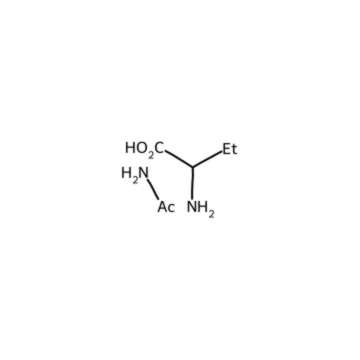 CC(N)=O.CCC(N)C(=O)O